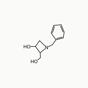 OCC1C(O)CN1Cc1ccccc1